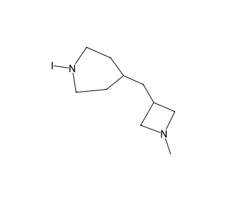 CN1CC(CC2CCN(I)CC2)C1